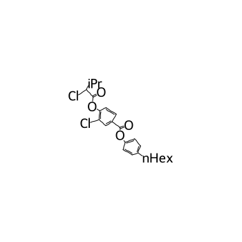 CCCCCCc1ccc(OC(=O)c2ccc(OC(=O)C(Cl)C(C)C)c(Cl)c2)cc1